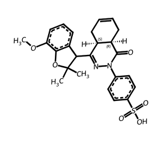 COc1cccc2c1OC(C)(C)C2C1=NN(c2ccc(S(=O)(=O)O)cc2)C(=O)[C@@H]2CC=CC[C@H]12